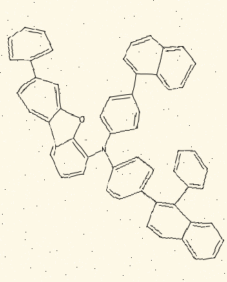 c1ccc(-c2ccc3c(c2)oc2c(N(c4ccc(-c5ccc6ccccc6c5-c5ccccc5)cc4)c4ccc(-c5cccc6ccccc56)cc4)cccc23)cc1